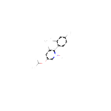 CCC(CC)Oc1cc(C)c(-c2ccc(C(F)(F)F)cc2OC)[n+]([O-])c1